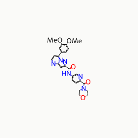 COc1ccc(-c2ccnc3cc(C(=O)Nc4ccc(C(=O)N5CCOCC5)nc4)nn23)cc1OC